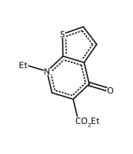 CCOC(=O)c1cn(CC)c2sccc2c1=O